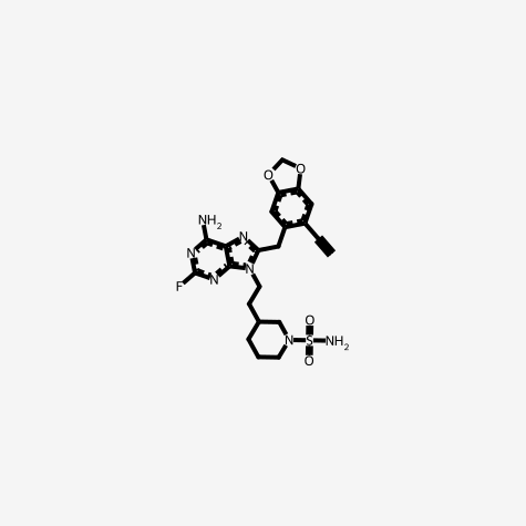 C#Cc1cc2c(cc1Cc1nc3c(N)nc(F)nc3n1CCC1CCCN(S(N)(=O)=O)C1)OCO2